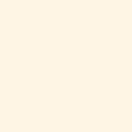 C\C=C/C=C(\C=C/C)C(=O)OOC